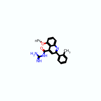 CCCOc1cccc2nc(-c3ccccc3C)cc(C(=O)NC(=N)N)c12